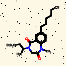 CCOC(=O)CC(C)N1CC(=O)N(C)c2ccc(CCCCCC#N)cc2C1=O